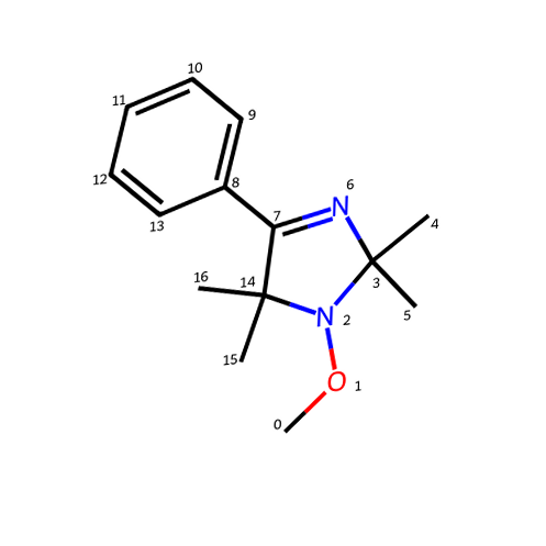 CON1C(C)(C)N=C(c2ccccc2)C1(C)C